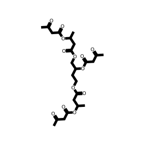 CC(=O)CC(=O)OC(C)CC(=O)OCCC(COC(=O)CC(C)OC(=O)CC(C)=O)OC(=O)CC(C)=O